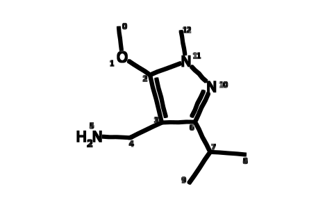 COc1c(CN)c(C(C)C)nn1C